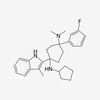 Cc1c(C2(NC3CCCC3)CCC(c3cccc(F)c3)(N(C)C)CC2)[nH]c2ccccc12